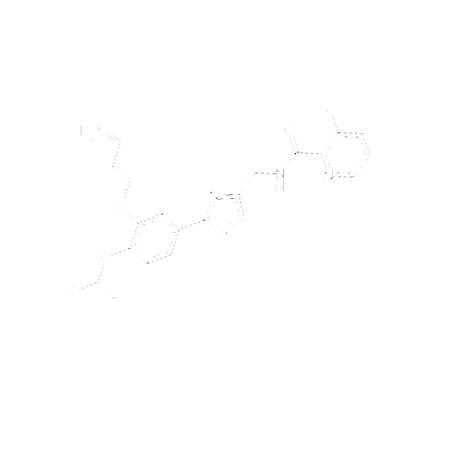 C=CCCOc1cc(-c2nc(CNC(=O)c3ncccc3C)co2)ccc1OC(F)F